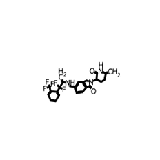 C=C1CCC(N2Cc3cc(CNC(=C)C(F)(F)c4ccccc4C(F)(F)F)ccc3C2=O)C(=O)N1